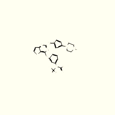 CN1CCN(c2ccc(Nc3nc(Oc4cccc(N(C(=O)O)C(C)(C)C)c4)c4sccc4n3)cc2)CC1